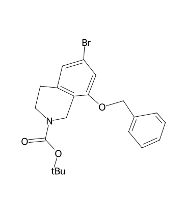 CC(C)(C)OC(=O)N1CCc2cc(Br)cc(OCc3ccccc3)c2C1